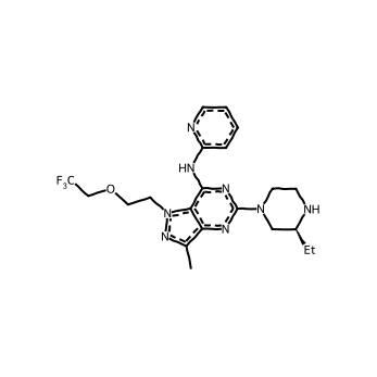 CC[C@H]1CN(c2nc(Nc3ccccn3)c3c(n2)c(C)nn3CCOCC(F)(F)F)CCN1